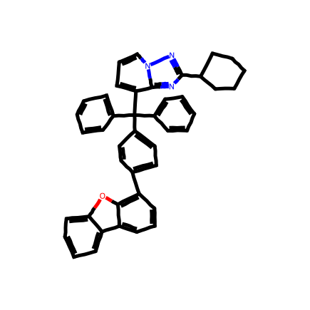 c1ccc(C(c2ccccc2)(c2ccc(-c3cccc4c3oc3ccccc34)cc2)c2cccn3nc(C4CCCCC4)nc23)cc1